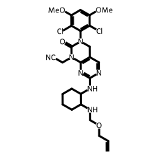 C=CCOCNC1CCCCC1Nc1ncc2c(n1)N(CC#N)C(=O)N(c1c(Cl)c(OC)cc(OC)c1Cl)C2